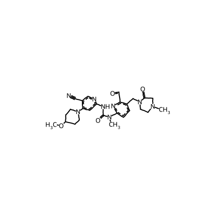 COC1CCN(c2cc(NC(=O)N(C)c3ccc(CN4CCN(C)CC4=O)c(C=O)n3)ncc2C#N)CC1